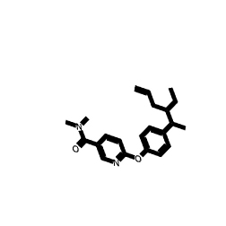 C=CCC(CC)C(C)c1ccc(Oc2ccc(C(=O)N(C)C)cn2)cc1